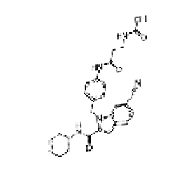 N#Cc1ccc2cc(C(=O)NC3CC=CCC3)n(Cc3ccc(NC(=O)CCNC(=O)O)cc3)c2c1